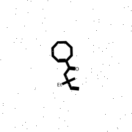 C=CC(C)(CC)CC(=O)C1=CCCCCCC1